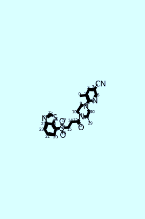 Cc1cc(C#N)cnc1N1CCN(C(=O)CCS(=O)(=O)c2cccc3ncsc23)[C@@H](C)C1